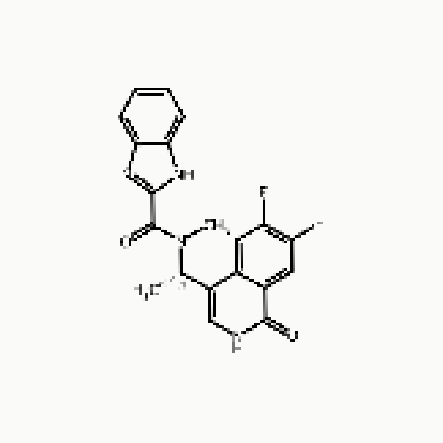 C[C@@H](c1c[nH]c(=O)c2cc(F)c(F)cc12)N(C)C(=O)c1nc2ccccc2[nH]1